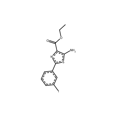 CCOC(=O)c1nc(-c2cccc(I)c2)sc1N